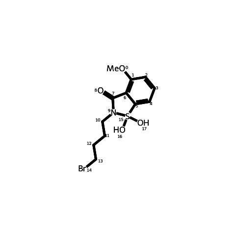 COc1cccc2c1C(=O)N(CCCCBr)S2(O)O